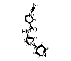 N#CN1CCC(C(=O)Nc2cn(-c3ccncc3)cn2)C1